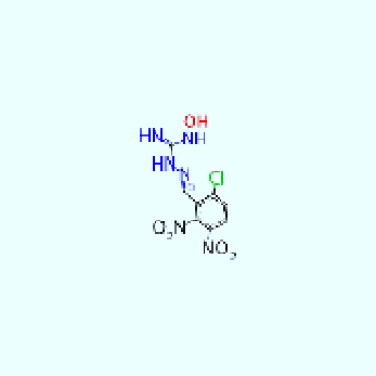 N=C(NO)N/N=C/c1c(Cl)ccc([N+](=O)[O-])c1[N+](=O)[O-]